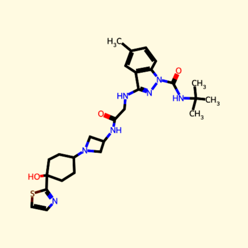 Cc1ccc2c(c1)c(NCC(=O)NC1CN(C3CCC(O)(c4nccs4)CC3)C1)nn2C(=O)NC(C)(C)C